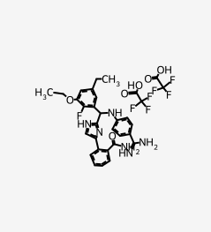 CCOc1cc(CC)cc(C(Nc2ccc(C(=N)N)cc2)c2nc(-c3ccccc3C(N)=O)c[nH]2)c1F.O=C(O)C(F)(F)F.O=C(O)C(F)(F)F